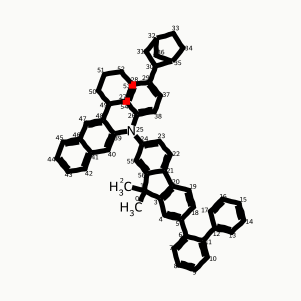 CC1(C)c2cc(-c3ccccc3-c3ccccc3)ccc2-c2ccc(N(c3ccc(C4CC5CCC4C5)cc3)c3cc4ccccc4cc3C3CCCCC3)cc21